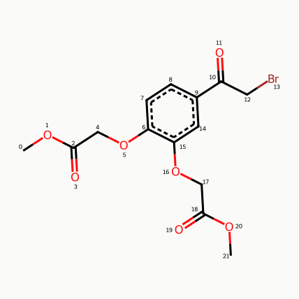 COC(=O)COc1ccc(C(=O)CBr)cc1OCC(=O)OC